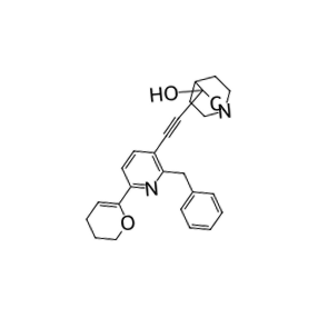 OC1(C#Cc2ccc(C3=CCCCO3)nc2Cc2ccccc2)CN2CCC1CC2